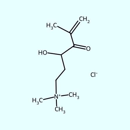 C=C(C)C(=O)C(O)CC[N+](C)(C)C.[Cl-]